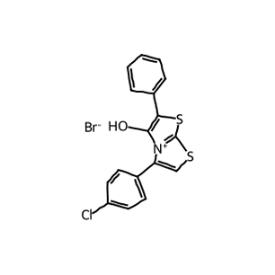 Oc1c(-c2ccccc2)sc2scc(-c3ccc(Cl)cc3)[n+]12.[Br-]